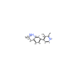 Cc1nccc(-c2ccc(C[C@@H](C)N)cc2)c1C